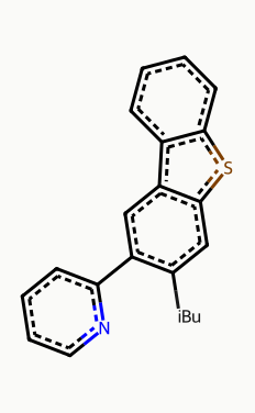 CCC(C)c1cc2sc3ccccc3c2cc1-c1ccccn1